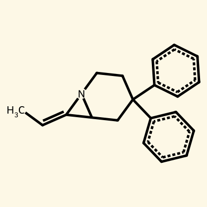 CC=C1C2CC(c3ccccc3)(c3ccccc3)CCN12